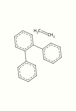 C=C.c1ccc(-c2ccccc2-c2ccccc2)cc1